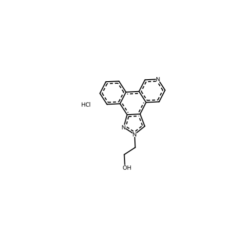 Cl.OCCn1cc2c3ccncc3c3ccccc3c2n1